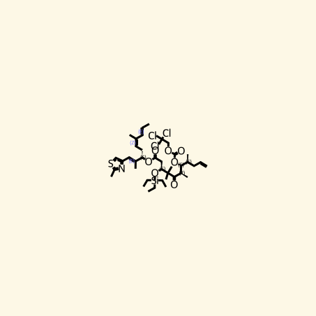 C=CC[C@H](C)[C@H](OC(=O)OCC(Cl)(Cl)Cl)[C@@H](C)C(=O)C(C)(C)[C@H](CC(=O)O[C@@H](C/C=C(C)\C=C\C)/C(C)=C/c1csc(C)n1)O[Si](CC)(CC)CC